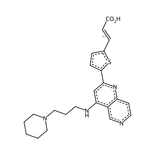 O=C(O)/C=C/c1ccc(-c2cc(NCCCN3CCCCC3)c3cnccc3n2)s1